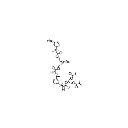 C=CC(=O)OCC(COC(=O)C(=C)C)OC(=O)NC(C)(C)c1cccc(C(C)(C)CNC(=O)OCCN(CCCC)CCOC(=O)NC(C)(C)c2cccc(C(C)(C)C)c2)c1